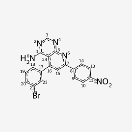 Nc1ncnc2nc(-c3ccc([N+](=O)[O-])cc3)cc(-c3cccc(Br)c3)c12